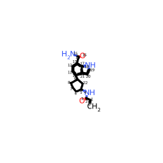 C=CC(=O)NC1CCCC(c2ccc(C(N)=O)c3[nH]ccc23)C1